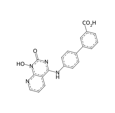 O=C(O)c1cccc(-c2ccc(Nc3nc(=O)n(O)c4ncccc34)cc2)c1